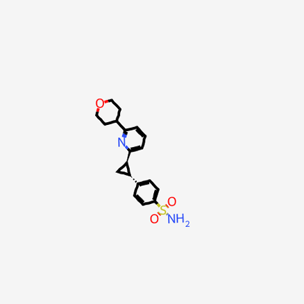 NS(=O)(=O)c1ccc([C@@H]2C[C@H]2c2cccc(C3CCOCC3)n2)cc1